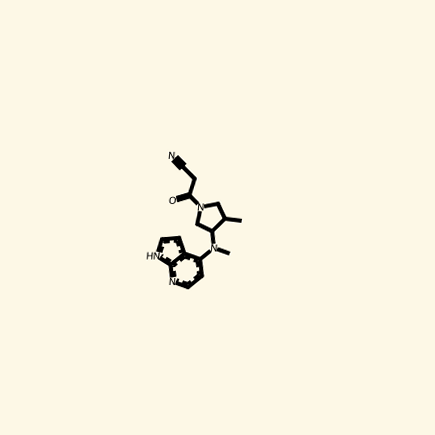 CC1CN(C(=O)CC#N)CC1N(C)c1ccnc2[nH]ccc12